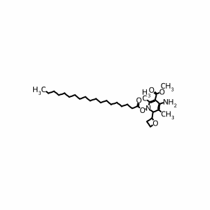 CCCCCCCCCCCCCCCCCCC(=O)ON1C(C)=C(C(=O)OC)C(N)=C(C)C1C1CCO1